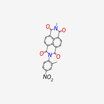 Cc1cc([N+](=O)[O-])ccc1N1C(=O)c2ccc3c4c(ccc(c24)C1=O)C(=O)N(C)C3=O